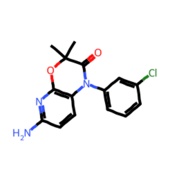 CC1(C)Oc2nc(N)ccc2N(c2cccc(Cl)c2)C1=O